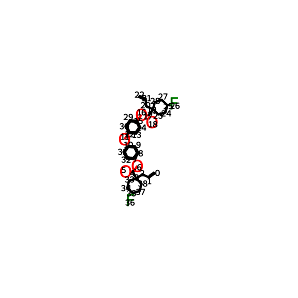 C=CCC1(C(=O)Oc2ccc(Oc3ccc(OC(=O)C4(CC=C)CCC(F)CC4)cc3)cc2)CCC(F)CC1